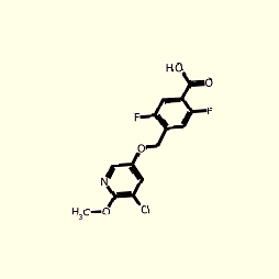 COc1ncc(OCc2cc(F)c(C(=O)O)cc2F)cc1Cl